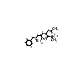 CNC(=O)[C@@H](CC(=O)C[C@H](N)Cc1ccccc1)CC(C)C